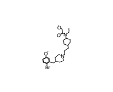 CCN(C(=O)COC)C1CCC(CCCN2CCC(Cc3cc(OC)ccc3Br)CC2)CC1